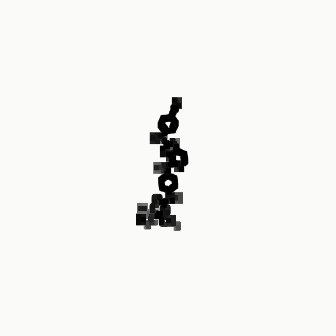 CC(C)(C)OC(=O)NC1CCC(Nc2nccc3nc(Nc4ccc(C#N)cc4)nn23)CC1